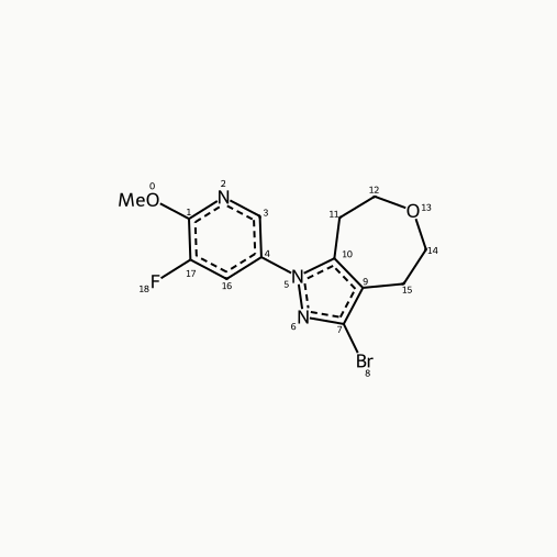 COc1ncc(-n2nc(Br)c3c2CCOCC3)cc1F